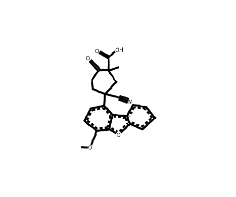 COc1ccc(C2(C#N)CCC(=O)C(C)(C(=O)O)C2)c2c1oc1ccccc12